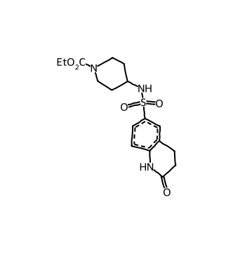 CCOC(=O)N1CCC(NS(=O)(=O)c2ccc3c(c2)CCC(=O)N3)CC1